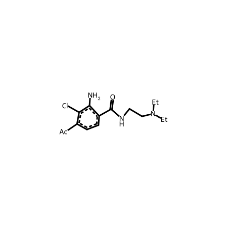 CCN(CC)CCNC(=O)c1ccc(C(C)=O)c(Cl)c1N